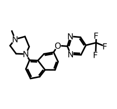 CN1CCN(c2cccc3ccc(Oc4ncc(C(F)(F)F)cn4)cc23)CC1